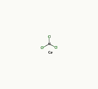 [Ca].[Cl][Al]([Cl])[Cl]